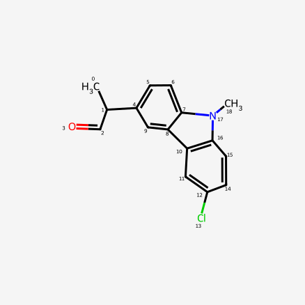 CC(C=O)c1ccc2c(c1)c1cc(Cl)ccc1n2C